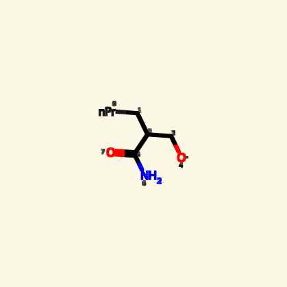 CCCCC(C[O])C(N)=O